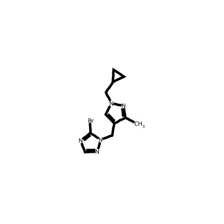 Cc1nn(CC2CC2)cc1Cn1ncnc1Br